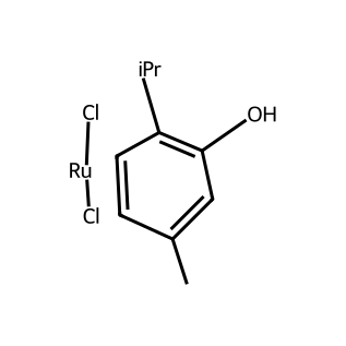 Cc1ccc(C(C)C)c(O)c1.[Cl][Ru][Cl]